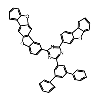 c1ccc(-c2cc(-c3ccccc3)cc(-c3nc(-c4ccc5c(c4)oc4ccccc45)nc(-c4ccc5oc6cc7c(cc6c5c4)oc4ccccc47)n3)c2)cc1